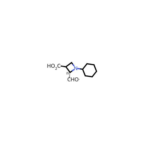 O=[C][C@@H]1C(C(=O)O)CN1C1CCCCC1